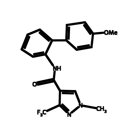 COc1ccc(-c2ccccc2NC(=O)c2cn(C)nc2C(F)(F)F)cc1